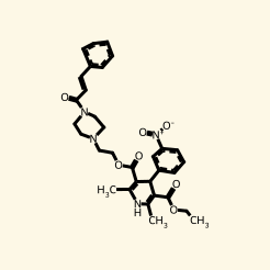 CCOC(=O)C1=C(C)NC(C)=C(C(=O)OCCN2CCN(C(=O)C=Cc3ccccc3)CC2)C1c1cccc([N+](=O)[O-])c1